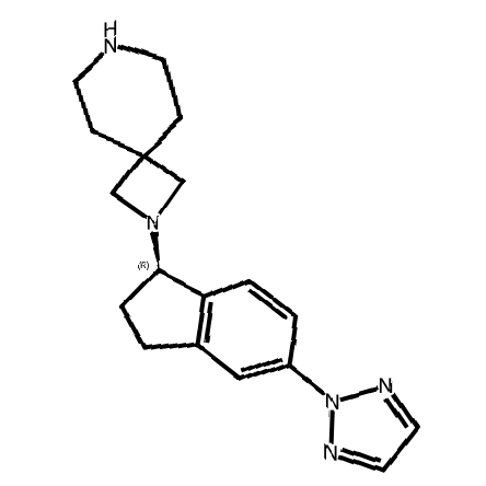 c1cnn(-c2ccc3c(c2)CC[C@H]3N2CC3(CCNCC3)C2)n1